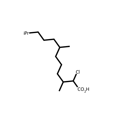 CC(C)CCCC(C)CCCC(C)C(Cl)C(=O)O